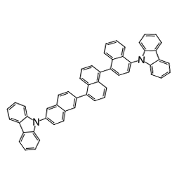 c1cc(-c2ccc(-n3c4ccccc4c4ccccc43)c3ccccc23)c2cccc(-c3ccc4cc(-n5c6ccccc6c6ccccc65)ccc4c3)c2c1